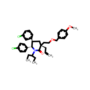 C=CC[C@]1(CCOCc2ccc(OC)cc2)C[C@H](c2cccc(Cl)c2)[C@@H](c2ccc(Cl)cc2)N(C(CC)CC)C1=O